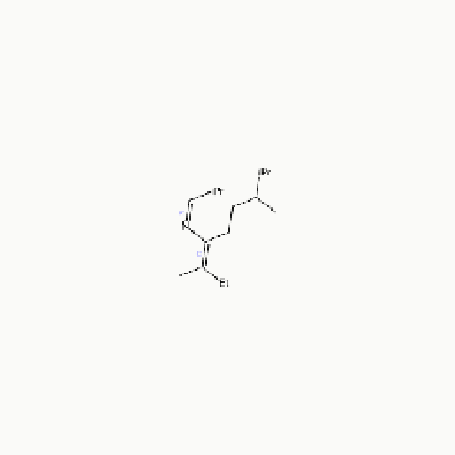 CC/C(C)=C(CCC(C)C(C)C)/N=C\C(C)C